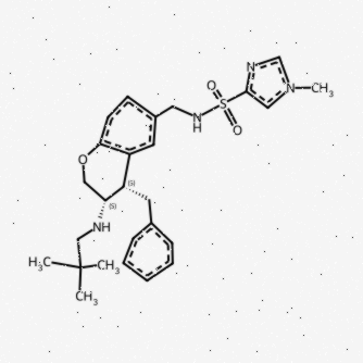 Cn1cnc(S(=O)(=O)NCc2ccc3c(c2)[C@H](Cc2ccccc2)[C@H](NCC(C)(C)C)CO3)c1